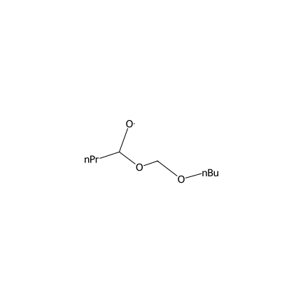 CCCCOCOC([O])CCC